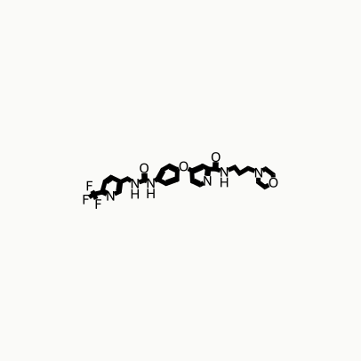 O=C(NCc1ccc(C(F)(F)F)nc1)Nc1ccc(Oc2ccnc(C(=O)NCCCN3CCOCC3)c2)cc1